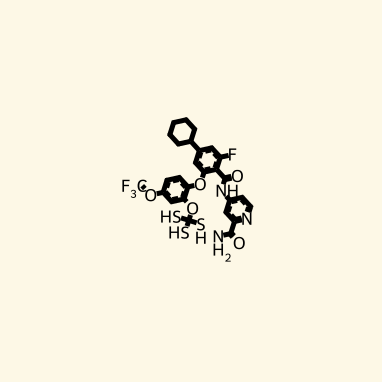 NC(=O)c1cc(NC(=O)c2c(F)cc(C3CCCCC3)cc2Oc2ccc(OC(F)(F)F)cc2OC(S)(S)S)ccn1